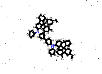 C=Cc1ccc(C2(C3=C(C)C(C)CC(C)=C3)c3ccccc3-c3ccc(N(c4ccccc4)c4ccc(-c5ccc(N(c6ccccc6)c6ccc7c(c6)C(c6ccc(C=C)cc6)(c6cc(C)ccc6C)C6C=CC=CC76C)cc5)cc4)cc32)cc1